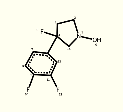 ON1CCC(F)(c2ccc(F)c(F)c2)C1